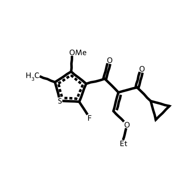 CCOC=C(C(=O)c1c(F)sc(C)c1OC)C(=O)C1CC1